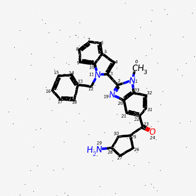 Cn1c(-c2cc3ccccc3n2Cc2ccccc2)nc2cc(C(=O)C3CCC(N)C3)ccc21